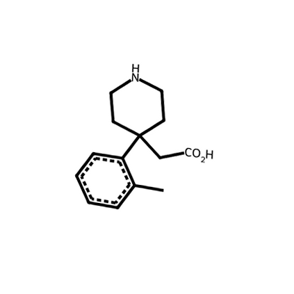 Cc1ccccc1C1(CC(=O)O)CCNCC1